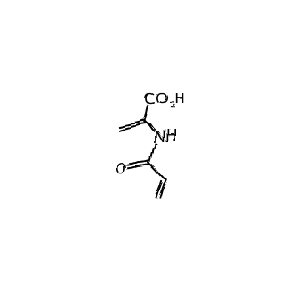 C=CC(=O)NC(=C)C(=O)O